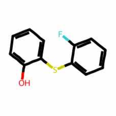 Oc1ccccc1Sc1ccccc1F